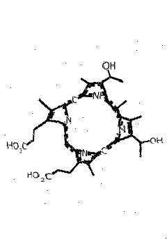 CC1=C(CCC(=O)O)c2cc3[nH]c(cc4nc(c(C)c5[nH]c(cc1n2)c(C)c5C(C)O)C(C)=C4C(C)O)c(C)c3CCC(=O)O